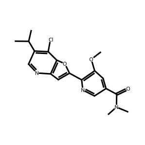 COc1cc(C(=O)N(C)C)cnc1-c1cc2ncc(C(C)C)c(Cl)c2o1